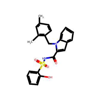 Cc1ccc(Cn2c(C(=O)NS(=O)(=O)c3ccccc3O)cc3ccccc32)c(C)c1